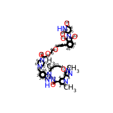 Cc1cc2cc(n1)-c1cnn(C)c1OCCC[C@@H](C)CN1/C(=N/C2=O)Nc2ccc(CN3CCN(C(=O)COCCOCC#Cc4cccc5c4C(=O)N(C4CCC(=O)NC4=O)C5=O)CC3)cc21